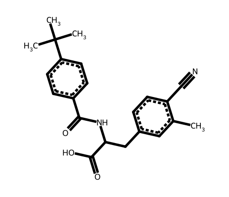 Cc1cc(CC(NC(=O)c2ccc(C(C)(C)C)cc2)C(=O)O)ccc1C#N